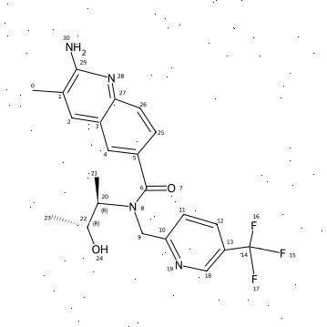 Cc1cc2cc(C(=O)N(Cc3ccc(C(F)(F)F)cn3)[C@H](C)[C@@H](C)O)ccc2nc1N